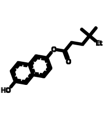 CCC(C)(C)CCC(=O)Oc1ccc2cc(O)ccc2c1